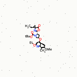 C=CC1C[C@@]12N=C([C@@H]1C[C@@H](Oc3cc(OCC)nc4c(C)c(OC)ccc34)CN1C(=O)OC(C)(C)C)OC2=O